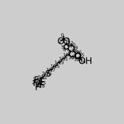 CC(=O)O[C@H]1CCC2C3C(CCCCCCCCCSCCCC(F)(F)C(F)(F)F)Cc4cc(O)ccc4C3CC[C@@]21C